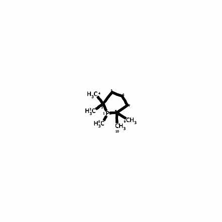 CP1C(C)(C)CCCC1(C)C